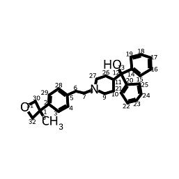 CC1(c2ccc(CCN3CCC(C(O)(c4ccccc4)c4ccccc4)CC3)cc2)COC1